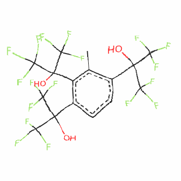 Cc1c(C(O)(C(F)(F)F)C(F)(F)F)ccc(C(O)(C(F)(F)F)C(F)(F)F)c1C(O)(C(F)(F)F)C(F)(F)F